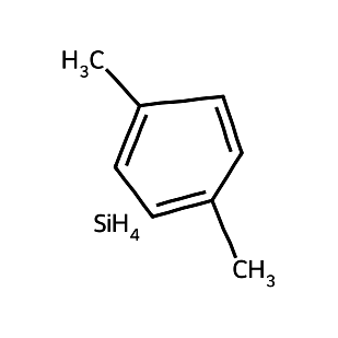 Cc1ccc(C)cc1.[SiH4]